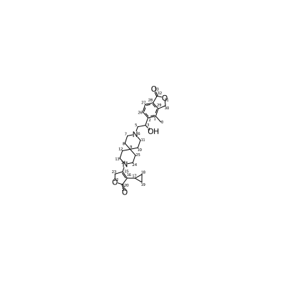 Cc1c(C(O)CN2CCC3(CC2)CCN(C2=C(C4CC4)C(=O)OC2)CC3)ccc2c1COC2=O